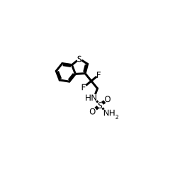 NS(=O)(=O)NCC(F)(F)c1csc2ccccc12